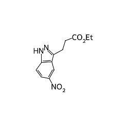 CCOC(=O)CCc1n[nH]c2ccc([N+](=O)[O-])cc12